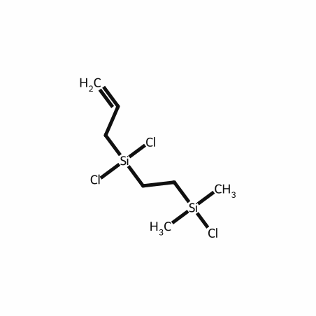 C=CC[Si](Cl)(Cl)CC[Si](C)(C)Cl